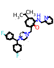 CC(C)c1ccc(CN2CCN(C(c3ccc(F)cc3)c3ccc(F)cc3)CC2)c(=O)c(NCc2ccccn2)c1